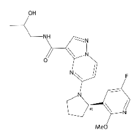 COc1ncc(F)cc1[C@H]1CCCN1c1ccn2ncc(C(=O)NCC(C)O)c2n1